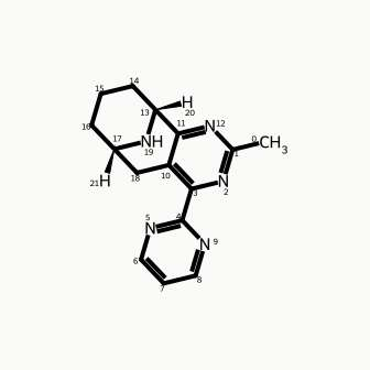 Cc1nc(-c2ncccn2)c2c(n1)[C@H]1CCC[C@@H](C2)N1